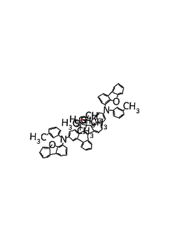 Cc1cccc(N(c2ccc3c4c(ccc3c2)-c2c(c3ccc(N(c5cccc(C)c5)c5cccc6c5oc5ccccc56)cc3c3ccccc23)C4([Si](C)(C)C)[Si](C)(C)C)c2cccc3c2oc2ccccc23)c1